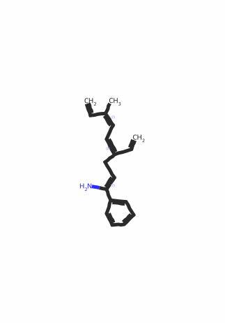 C=C/C(C)=C\C=C(/C=C)C/C=C(\N)c1ccccc1